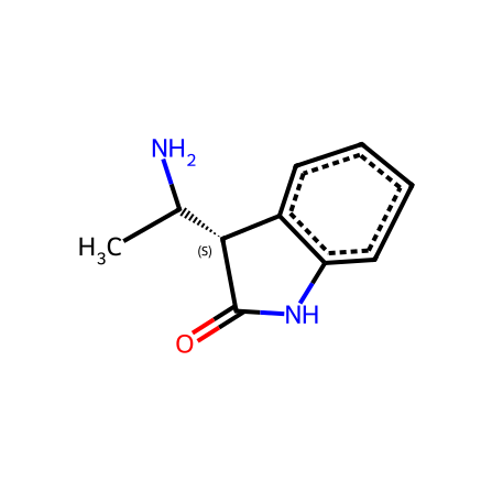 CC(N)[C@H]1C(=O)Nc2ccccc21